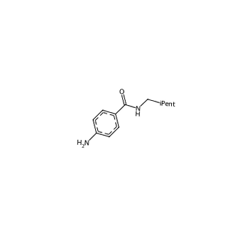 CCCC(C)CNC(=O)c1ccc(N)cc1